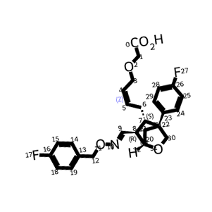 O=C(O)COC/C=C\C[C@H]1[C@H](C=NOCc2ccc(F)cc2)[C@@H]2C[C@@]1(c1ccc(F)cc1)CO2